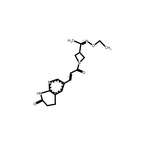 CCO/N=C(/C)C1CN(C(=O)/C=C/c2cnc3c(c2)CCC(=O)N3)C1